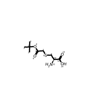 CC(C)(C)OC(=O)CSC[C@H](N)C(=O)O